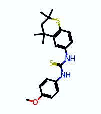 COc1ccc(NC(=S)Nc2ccc3c(c2)C(C)(C)CC(C)(C)S3)cc1